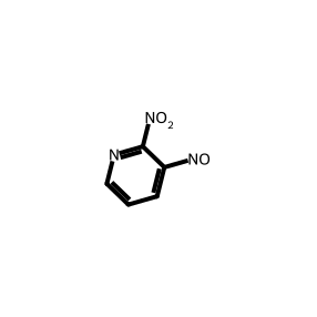 O=Nc1cccnc1[N+](=O)[O-]